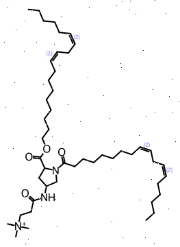 CCCCC/C=C\C/C=C\CCCCCCCCOC(=O)C1CC(NC(=O)CC[N+](C)(C)C)CN1C(=O)CCCCCCC/C=C\C/C=C\CCCCC